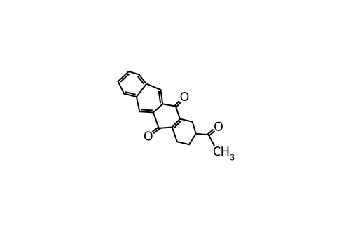 CC(=O)C1CCC2=C(C1)C(=O)c1cc3ccccc3cc1C2=O